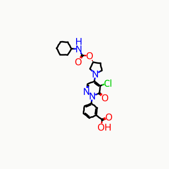 O=C(NC1CCCCC1)O[C@@H]1CCN(c2cnn(-c3cccc(C(=O)O)c3)c(=O)c2Cl)C1